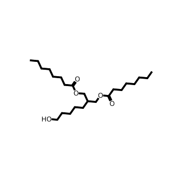 CCCCCCCC(=O)OCC(CCCCCO)COC(=O)CCCCCCC